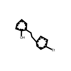 CCc1ccc(CCc2ccccc2O)cc1